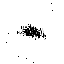 Cc1c(C(C)(C)C)cc(C(C)(C)C)c(C(=O)OC(=O)c2c(C(C)(C)C)cc(C(C)(C)C)c(C)c2C(C)C)c1C(C)C